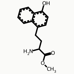 COC(=O)C(N)CCc1ccc(O)c2ccccc12